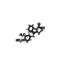 Cc1cc(Cn2c3c(c4ccccc42)C(=O)NCC3)ccc1C(=O)O